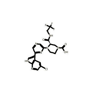 O=C(NCC(F)(F)F)[C@H]1CN(C(=O)O)CCN1c1cncc(-c2c[nH]c3ncc(Cl)cc23)n1